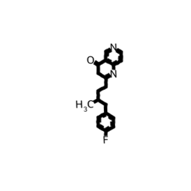 CC(CCC1=Nc2ccncc2C(=O)C1)Cc1ccc(F)cc1